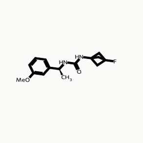 COc1cccc([C@H](C)NC(=O)NC23CC(F)(C2)C3)c1